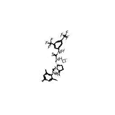 Cc1cc(C)c(-[n+]2cn3c(n2)CC[C@H]3CNC(=S)Nc2cc(C(F)(F)F)cc(C(F)(F)F)c2)c(C)c1.[Cl-]